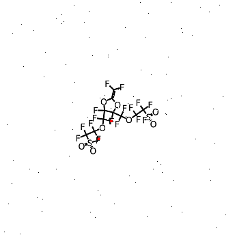 O=S(=O)(F)C(F)(F)C(F)(F)OC(F)(F)C1(F)OC(=C(F)F)OC1(F)C(F)(F)OC(F)(F)C(F)(F)S(=O)(=O)F